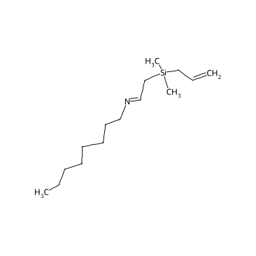 C=CC[Si](C)(C)CC=NCCCCCCCC